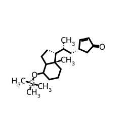 C[C@H](C[C@@H]1C=CC(=O)C1)[C@H]1CCC2C(O[Si](C)(C)C)CCC[C@]21C